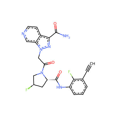 C#Cc1cccc(NC(=O)[C@@H]2C[C@@H](F)CN2C(=O)Cn2nc(C(N)=O)c3ccncc32)c1F